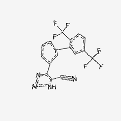 N#Cc1[nH]nnc1-c1cccc(-c2cc(C(F)(F)F)ccc2C(F)(F)F)c1